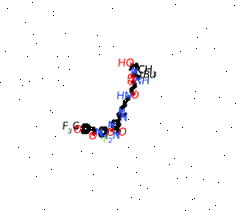 C[C@@H]1C[C@@H](O)CN1C(=O)[C@@H](NC(=O)CCC(=O)NCCCCn1cnc(-c2cnc(O[C@@H]3CCN(C(=O)Cc4ccc(OC(F)(F)F)cc4)C[C@H]3F)c(C(N)=O)c2)c1)C(C)(C)C